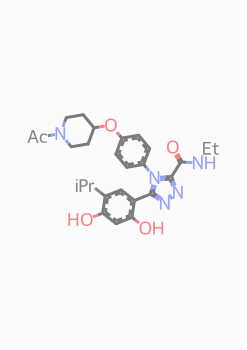 [CH2]C(=O)N1CCC(Oc2ccc(-n3c(C(=O)NCC)nnc3-c3cc(C(C)C)c(O)cc3O)cc2)CC1